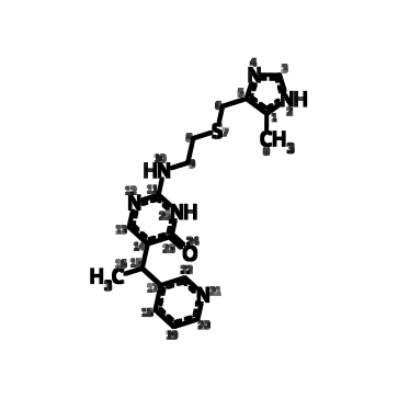 Cc1[nH]cnc1CSCCNc1ncc(C(C)c2cccnc2)c(=O)[nH]1